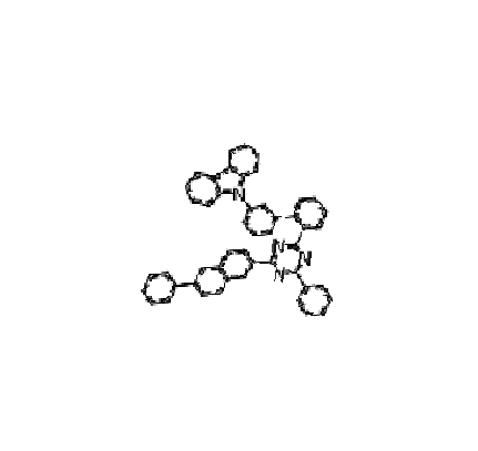 c1ccc(-c2ccc3cc(-c4nc(-c5ccccc5)nc(-c5ccccc5-c5cccc(-n6c7ccccc7c7ccccc76)c5)n4)ccc3c2)cc1